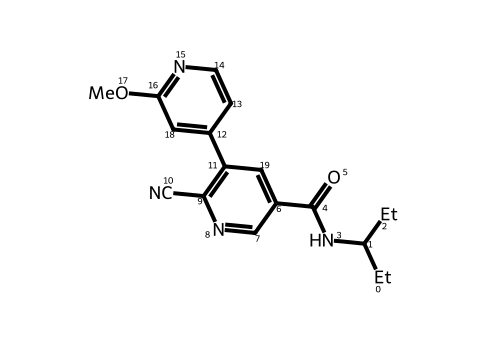 CCC(CC)NC(=O)c1cnc(C#N)c(-c2ccnc(OC)c2)c1